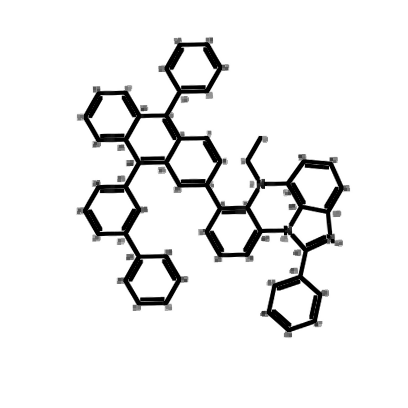 CCN1c2c(-c3ccc4c(-c5ccccc5)c5ccccc5c(-c5cccc(-c6ccccc6)c5)c4c3)cccc2-n2c(-c3ccccc3)nc3cccc1c32